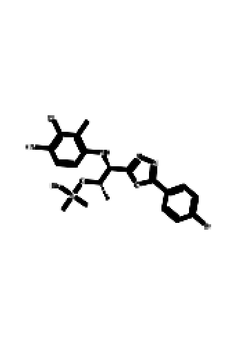 [C-]#[N+]c1ccc(N[C@@H](c2nnc(-c3ccc(Br)cc3)o2)[C@H](C)O[Si](C)(C)C(C)(C)C)c(C)c1Cl